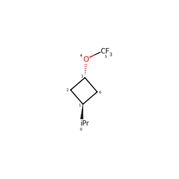 CC(C)[C@H]1C[C@H](OC(F)(F)F)C1